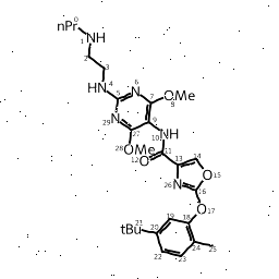 CCCNCCNc1nc(OC)c(NC(=O)c2coc(Oc3cc(C(C)(C)C)ccc3C)n2)c(OC)n1